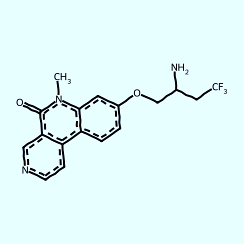 Cn1c(=O)c2cnccc2c2ccc(OCC(N)CC(F)(F)F)cc21